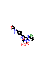 CC(C)(C)c1nc(N(C(=O)O)C(C)(C)C)c(-c2cc(-c3ccc(CN[C@H]4CCOC4)cc3)no2)nc1Br